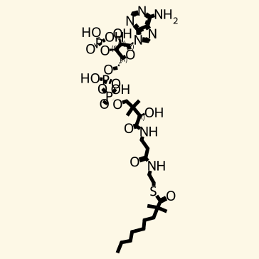 CCCCCCCC(C)(C)C(=O)SCCNC(=O)CCNC(=O)[C@H](O)C(C)(C)COP(=O)(O)OP(=O)(O)OC[C@H]1O[C@@H](n2cnc3c(N)ncnc32)[C@H](O)[C@@H]1OP(=O)(O)O